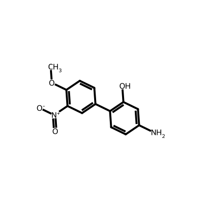 COc1ccc(-c2ccc(N)cc2O)cc1[N+](=O)[O-]